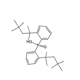 CC(C)(C)CC(C)(C)c1ccccc1P(=O)(O)c1ccccc1C(C)(C)CC(C)(C)C